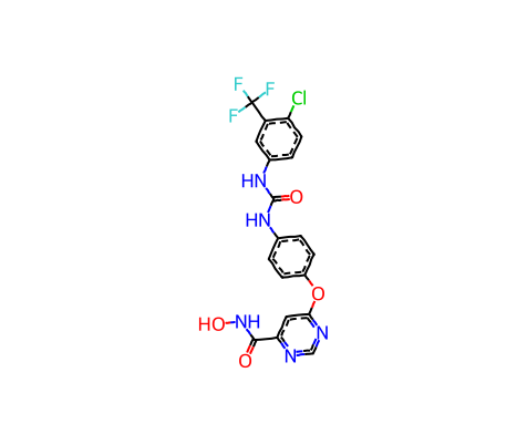 O=C(Nc1ccc(Oc2cc(C(=O)NO)ncn2)cc1)Nc1ccc(Cl)c(C(F)(F)F)c1